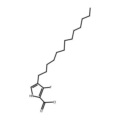 CCCCCCCCCCCCCc1c[nH]c(C(=O)Cl)c1F